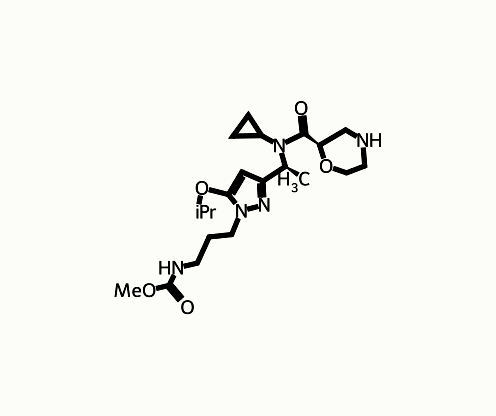 COC(=O)NCCCn1nc([C@H](C)N(C(=O)[C@H]2CNCCO2)C2CC2)cc1OC(C)C